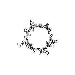 CCCC[C@H]1CN(C)[C@@H](CCCC)C(=O)N[C@@H](C(C)C)C(=O)N[C@H](C(=O)NCC(N)=O)CSCC(=O)N[C@@H](Cc2ccccc2)C(=O)N(C)[C@@H](C)C(=O)N[C@@H](CC(N)=O)C(=O)N2CCC[C@H]2C(=O)N[C@@H](Cc2cnc[nH]2)C(=O)N[C@@H](CC(C)C)C(=O)N(C)CC(=O)N[C@@H](Cc2c[nH]c3ccccc23)C(=O)N[C@@H](CO)C(=O)N[C@@H](Cc2c[nH]c3ccccc23)C(=O)N1C